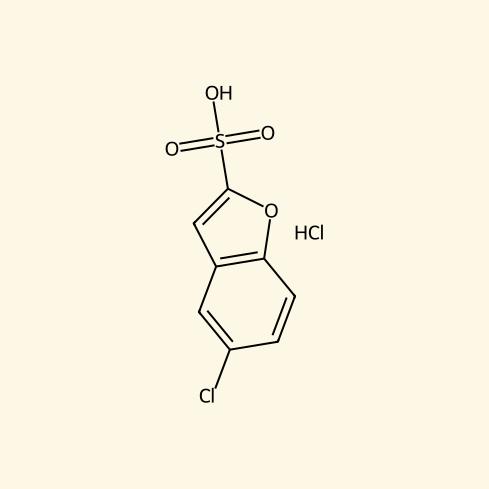 Cl.O=S(=O)(O)c1cc2cc(Cl)ccc2o1